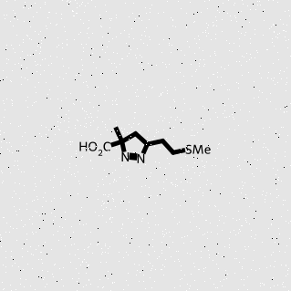 CSCCC1CC(C)(C(=O)O)N=N1